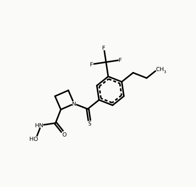 CCCc1ccc(C(=S)N2CCC2C(=O)NO)cc1C(F)(F)F